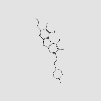 CCCc1cc2c(c(F)c1F)-c1c(cc(CCC3CCC(C)CC3)c(F)c1F)C2